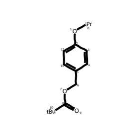 CC(C)Oc1ccc(COC(=O)C(C)(C)C)cc1